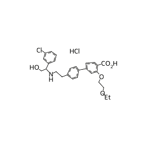 CCOCCOc1cc(-c2ccc(CCNC(CO)c3cccc(Cl)c3)cc2)ccc1C(=O)O.Cl